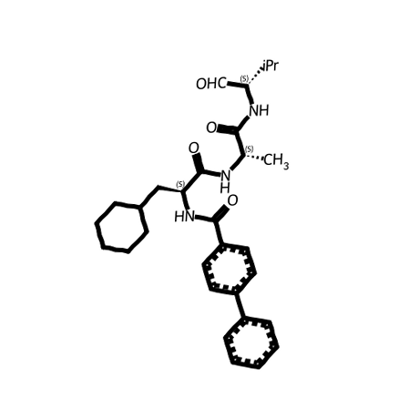 CC(C)[C@@H](C=O)NC(=O)[C@H](C)NC(=O)[C@H](CC1CCCCC1)NC(=O)c1ccc(-c2ccccc2)cc1